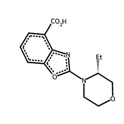 CC[C@@H]1COCCN1c1nc2c(C(=O)O)cccc2o1